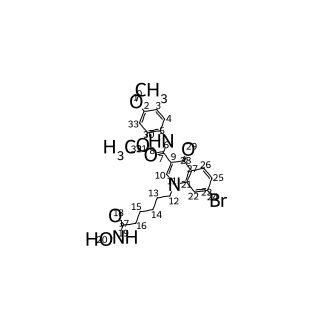 COc1ccc(NC(=O)c2cn(CCCCCC(=O)NO)c3cc(Br)ccc3c2=O)c(OC)c1